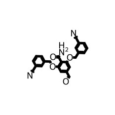 N#Cc1cccc(COc2cc(C=O)cc(OCc3cccc(C#N)c3)c2C(N)=O)c1